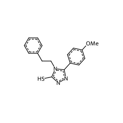 COc1ccc(-c2nnc(S)n2CCc2ccccc2)cc1